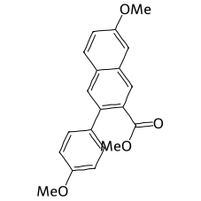 COC(=O)c1cc2cc(OC)ccc2cc1-c1ccc(OC)cc1